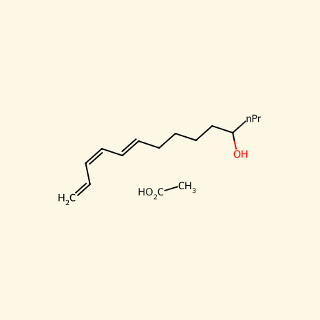 C=C/C=C\C=CCCCCC(O)CCC.CC(=O)O